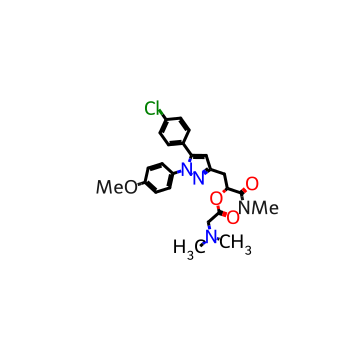 CNC(=O)C(Cc1cc(-c2ccc(Cl)cc2)n(-c2ccc(OC)cc2)n1)OC(=O)CN(C)C